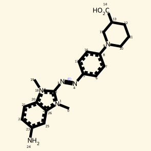 Cn1c(/N=N/c2ccc(N3CCCC(C(=O)O)C3)cc2)[n+](C)c2ccc(N)cc21